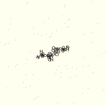 CCN(CC)CCNS(=O)(=O)c1ccc(N=NC(C(C)=O)C(=O)Nc2cc(Cl)c(NC(=O)C(N=Nc3ccc(S(=O)(=O)NCCN(CC)CC)cc3)C(C)=O)cc2Cl)cc1